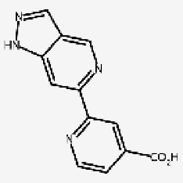 O=C(O)c1ccnc(-c2cc3[nH]ncc3cn2)c1